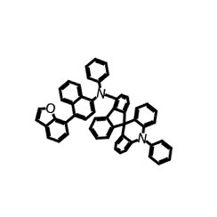 c1ccc(N2c3ccccc3C3(c4ccccc4-c4c(N(c5ccccc5)c5ccc(-c6cccc7ccoc67)c6ccccc56)cccc43)c3ccccc32)cc1